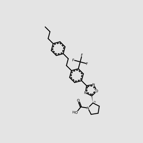 CCCc1ccc(CCc2ccc(-c3noc([C@@H]4CCCN4C(=O)O)n3)cc2C(F)(F)F)cc1